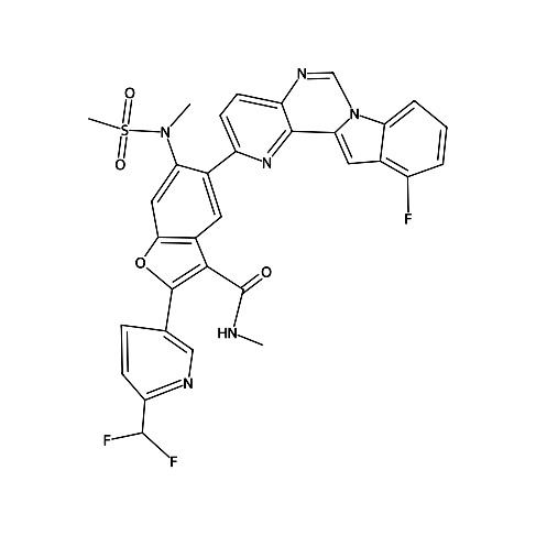 CNC(=O)c1c(-c2ccc(C(F)F)nc2)oc2cc(N(C)S(C)(=O)=O)c(-c3ccc4ncn5c6cccc(F)c6cc5c4n3)cc12